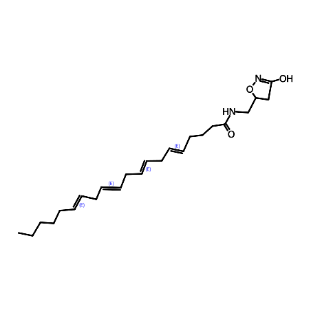 CCCCC/C=C/C/C=C/C/C=C/C/C=C/CCCC(=O)NCC1CC(O)=NO1